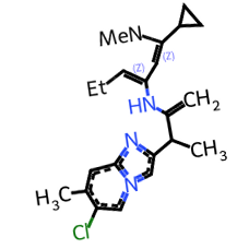 C=C(NC(=C\CC)/C=C(\NC)C1CC1)C(C)c1cn2cc(Cl)c(C)cc2n1